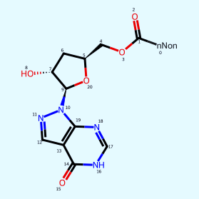 CCCCCCCCCC(=O)OC[C@@H]1C[C@@H](O)[C@H](n2ncc3c(=O)[nH]cnc32)O1